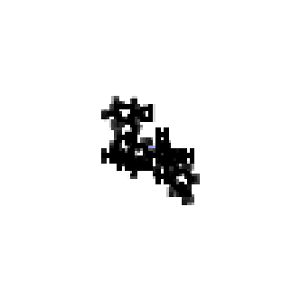 Cc1ccc(Cl)c(CN2CCNC(N)=C2/C=C(\N)C(=N)NC(=N)C2CCN(C)CC2)c1